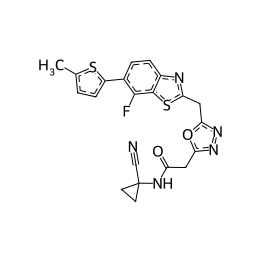 Cc1ccc(-c2ccc3nc(Cc4nnc(CC(=O)NC5(C#N)CC5)o4)sc3c2F)s1